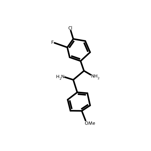 COc1ccc(C(N)C(N)c2ccc(Cl)c(F)c2)cc1